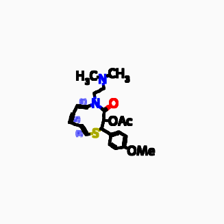 COc1ccc(C2S/C=C/C=C\C=C\N(CCN(C)C)C(=O)C2OC(C)=O)cc1